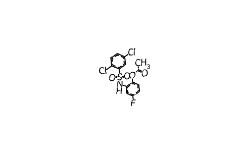 CC(=O)Oc1ccc(F)cc1NS(=O)(=O)c1cc(Cl)ccc1Cl